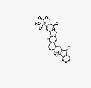 CC[C@@]1(O)C(=O)OCc2c1cc1n(c2=O)Cc2cc3c(CN4C(=O)c5ccccc5C4=O)c(O)ccc3nc2-1